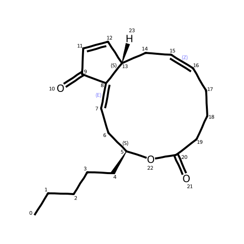 CCCCC[C@H]1C/C=C2/C(=O)C=C[C@@H]2C/C=C\CCCC(=O)O1